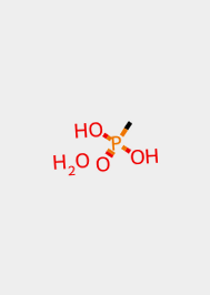 CP(=O)(O)O.O